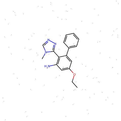 CCOc1cc(N)c(-c2nncn2C)c(-c2ccccc2)c1